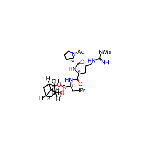 CNC(=N)NCCC[C@H](NC(=O)[C@@H]1CCCN1C(C)=O)C(=O)N[C@@H](CC(C)C)B1O[C@@H]2C[C@@H]3C[C@@H](C3(C)C)[C@]2(C)O1